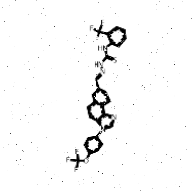 FC(F)(F)Oc1ccc(-n2cnc3c4ccc(/C=N/NC(=S)Nc5ccccc5C(F)(F)F)cc4ccc32)cc1